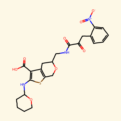 O=C(Cc1ccccc1[N+](=O)[O-])C(=O)NCC1Cc2c(sc(NC3CCCCO3)c2C(=O)O)CO1